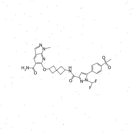 Cn1ncc2cc(C(N)=O)c(OC3CC4(CC(NC(=O)c5cc(-c6ccc(S(C)(=O)=O)cc6)n(C(F)F)n5)C4)C3)nc21